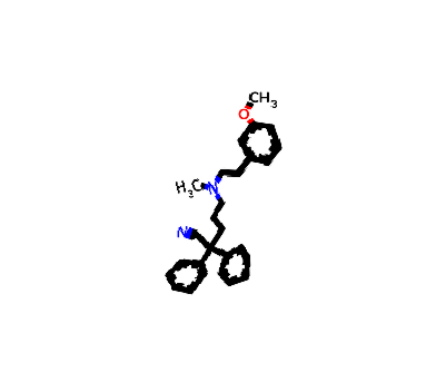 COc1cccc(CCN(C)CCCC(C#N)(c2ccccc2)c2ccccc2)c1